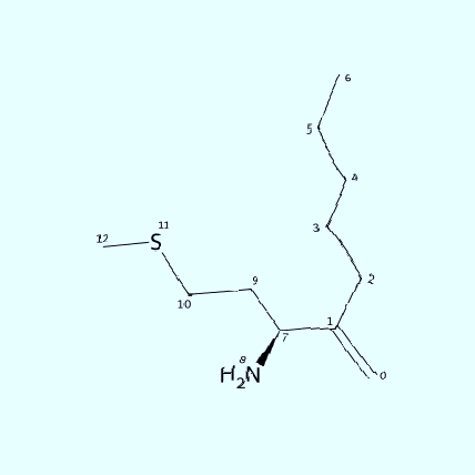 C=C(CCCCC)[C@@H](N)CCSC